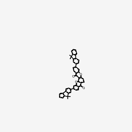 CC1(C)c2ccccc2-c2ccc(-c3ccc4c(=O)c5ccc6oc7cc(-c8ccc9c(c8)C(C)(C)c8ccccc8-9)ccc7c(=O)c6c5oc4c3)cc21